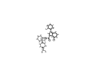 Cc1nccnc1-n1cc(C(=O)NCC2(N3CCN(C(C)C)CC3)CCCCC2)c2c(Cl)cccc21